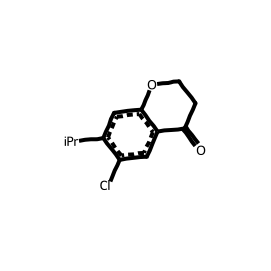 CC(C)c1cc2c(cc1Cl)C(=O)CCO2